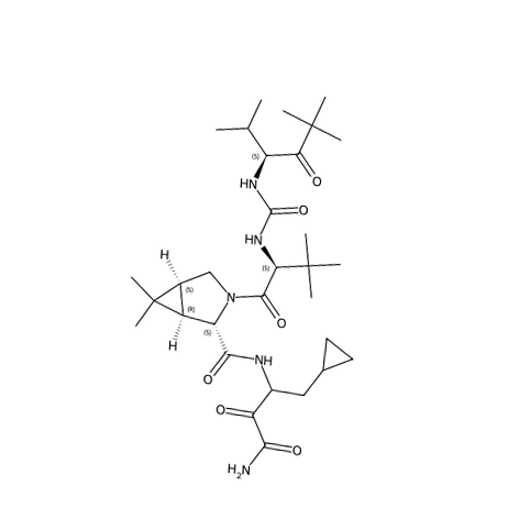 CC(C)[C@H](NC(=O)N[C@H](C(=O)N1C[C@H]2[C@@H]([C@H]1C(=O)NC(CC1CC1)C(=O)C(N)=O)C2(C)C)C(C)(C)C)C(=O)C(C)(C)C